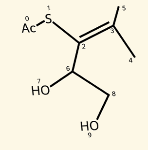 CC(=O)SC(=C(C)C)C(O)CO